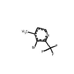 Cc1ccnc(C(F)(F)F)c1Br